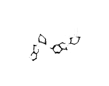 O=C1CCC(N2Cc3cc(O[C@@H]4CCC[C@H]4N4Cc5ccncc5C4)ccc3C2=O)C(=O)N1